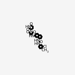 Cc1ccc(NC(=O)Nc2cccc3ccc(NC4=CC(=O)N(C5CCC(=O)NC5=O)C4=O)cc23)cc1Cl